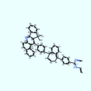 C=C/N=C(\N=C)c1ccc(C2=c3ccccc3=C(c3ccc(-c4c5c(nc6ccc7ccccc7c46)-c4ccccc4C5(C)C)cc3)C=CC2)cc1